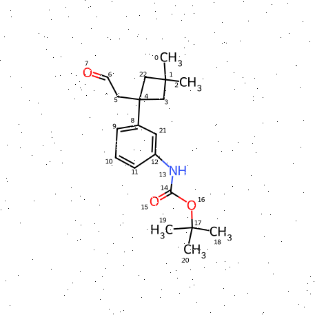 CC1(C)CC(CC=O)(c2cccc(NC(=O)OC(C)(C)C)c2)C1